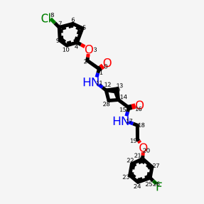 O=C(COc1ccc(Cl)cc1)NC12CC(C(=O)NCCOc3cccc(F)c3)(C1)C2